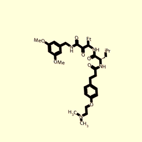 CCC(NC(=O)[C@H](CC(C)C)NC(=O)CCc1ccc(OCCN(C)C)cc1)C(=O)C(=O)NCc1cc(OC)cc(OC)c1